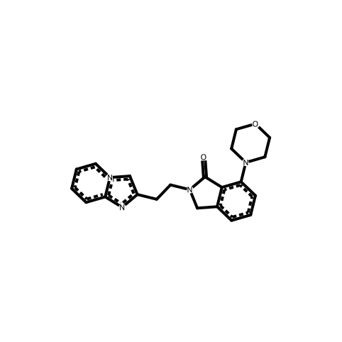 O=C1c2c(cccc2N2CCOCC2)CN1CCc1cn2ccccc2n1